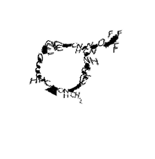 C=C1NCC2(CC2)CNCCCOc2ccc(cc2)CNc2cc(nc(OCC(F)(F)F)n2)Nc2ccc1cc2